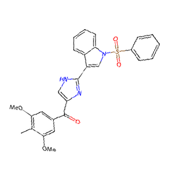 COc1cc(C(=O)c2c[nH]c(-c3cn(S(=O)(=O)c4ccccc4)c4ccccc34)n2)cc(OC)c1C